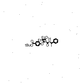 CCC1(CC)C(=O)N(C(=O)NC(I)c2ccccc2)C1Oc1ccc(C(=O)OC(C)(C)C)cc1